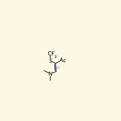 CC(=O)/C(=C/N(C)C)SC(F)(F)F